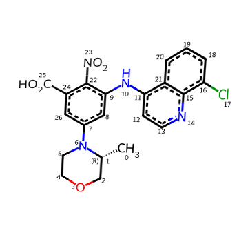 C[C@@H]1COCCN1c1cc(Nc2ccnc3c(Cl)cccc23)c([N+](=O)[O-])c(C(=O)O)c1